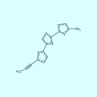 CC#Cc1ccc(-c2ccc(-c3ccc(C)s3)s2)s1